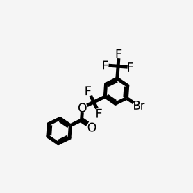 O=C(OC(F)(F)c1cc(Br)cc(C(F)(F)F)c1)c1ccccc1